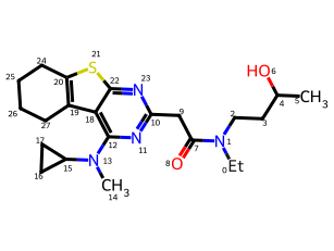 CCN(CCC(C)O)C(=O)Cc1nc(N(C)C2CC2)c2c3c(sc2n1)CCCC3